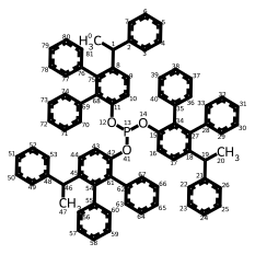 CC(c1ccccc1)c1ccc(OP(Oc2ccc(C(C)c3ccccc3)c(-c3ccccc3)c2-c2ccccc2)Oc2ccc(C(C)c3ccccc3)c(-c3ccccc3)c2-c2ccccc2)c(-c2ccccc2)c1-c1ccccc1